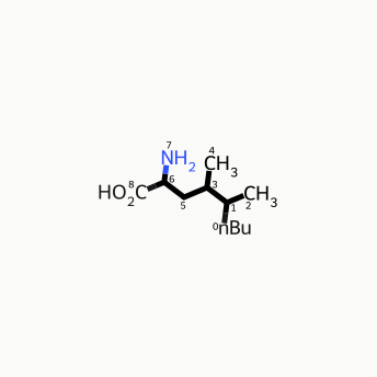 CCCCC(C)C(C)CC(N)C(=O)O